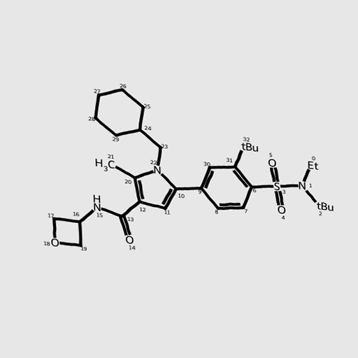 CCN(C(C)(C)C)S(=O)(=O)c1ccc(-c2cc(C(=O)NC3COC3)c(C)n2CC2CCCCC2)cc1C(C)(C)C